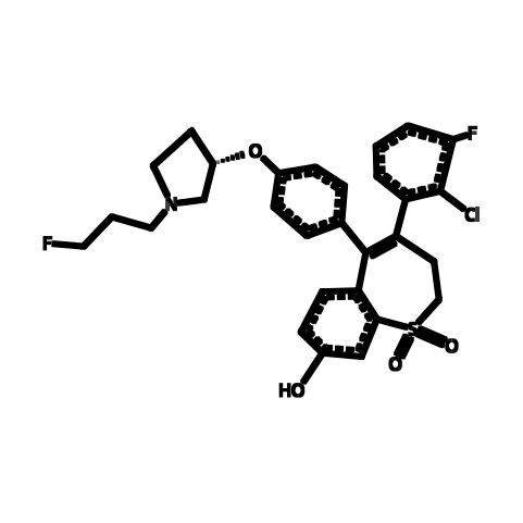 O=S1(=O)CCC(c2cccc(F)c2Cl)=C(c2ccc(O[C@H]3CCN(CCCF)C3)cc2)c2ccc(O)cc21